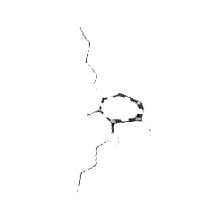 CCCCOc1ccc(I)c(OCCCC)c1I